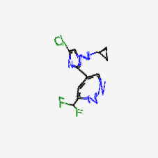 FC(F)c1cc(-c2nc(Cl)cn2C2CC2)cnn1